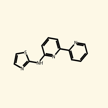 c1ccc(-c2cccc(Nc3nccs3)n2)nc1